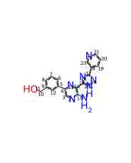 Nc1ncc(-c2cccc(CO)c2)nc1-c1nc(-c2cccnc2)n[nH]1